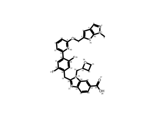 Cn1ncc2cc(COc3cccc(-c4cc(F)c(Cc5nc6ccc(C(=O)O)cc6n5C[C@@H]5CCO5)cc4F)n3)sc21